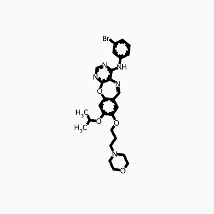 CC(C)Oc1cc2c(cc1OCCCN1CCOCC1)C=Nc1c(Nc3cccc(Br)c3)ncnc1O2